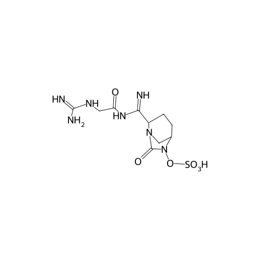 N=C(N)NCC(=O)NC(=N)C1CCC2CN1C(=O)N2OS(=O)(=O)O